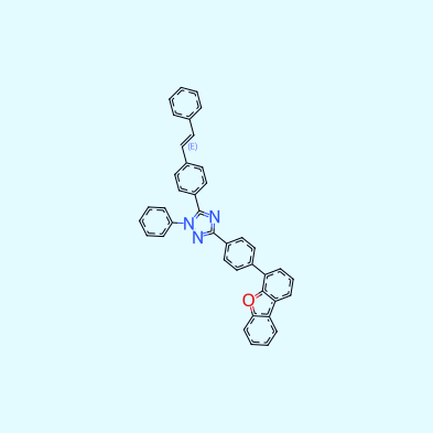 C(=C\c1ccc(-c2nc(-c3ccc(-c4cccc5c4oc4ccccc45)cc3)nn2-c2ccccc2)cc1)/c1ccccc1